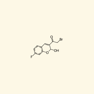 O=C(CBr)C1=Cc2ccc(F)cc2OC1O